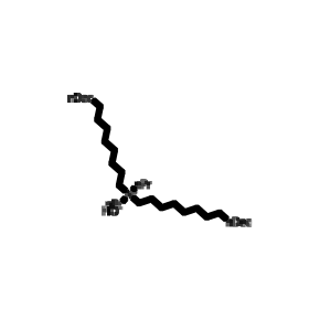 CCCCCCCCCCCCCCCCCC[N+](CCC)(CCC)CCCCCCCCCCCCCCCCCC.[OH-]